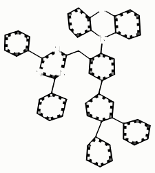 c1ccc(-c2nc(Cc3cc(-c4ccc(-c5ccccc5)c(-c5ccccc5)c4)ccc3N3c4ccccc4Sc4ccccc43)nc(-c3ccccc3)n2)cc1